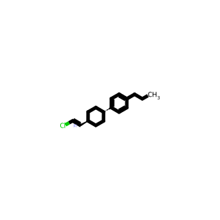 CCCc1ccc([C@H]2CC[C@H](/C=C/Cl)CC2)cc1